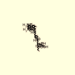 CCCCCCN(CCNC(=O)c1ccc(CCNCC(CNC(=O)c2nc(Cl)c(N)nc2N)Cc2ccccc2C)cc1)C[C@H](O)[C@@H](O)[C@H](O)CO